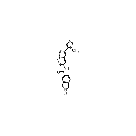 CN1Cc2ccc(C(=O)Nc3cc4cc(-c5cncn5C)ccc4nn3)cc2C1